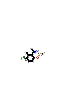 C/C(=N/[S+]([O-])C(C)(C)C)c1cccc(Br)c1C